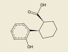 O=C(O)[C@H]1CCCC[C@H]1c1ccccc1O